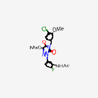 COc1cc(Cn2c(=O)c(OC)nn(-c3ccc(F)c(NC(C)=O)c3)c2=O)ccc1Cl